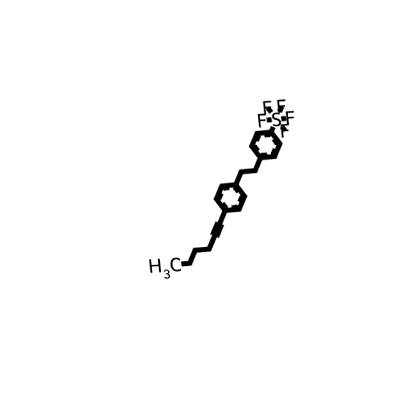 CCCCC#Cc1ccc(CCc2ccc(S(F)(F)(F)(F)F)cc2)cc1